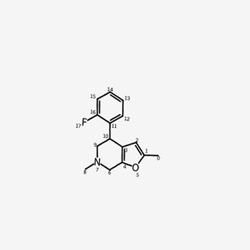 Cc1cc2c(o1)CN(C)CC2c1ccccc1F